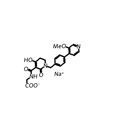 COc1cnccc1-c1ccc(CN2CCC(O)=C(C(=O)NCC(=O)[O-])C2=O)cc1.[Na+]